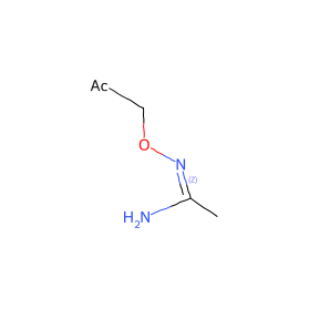 CC(=O)CO/N=C(/C)N